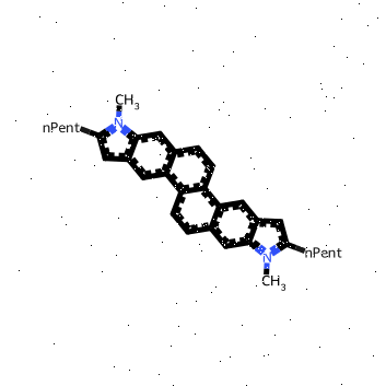 CCCCCc1cc2cc3c(ccc4c5cc6cc(CCCCC)n(C)c6cc5ccc34)cc2n1C